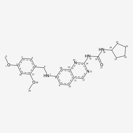 COc1ccc(CNc2ccc3cnc(NC(=O)NC4CCCC4)nc3c2)c(OC)c1